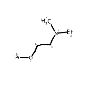 CCN(C)CCOC(C)C